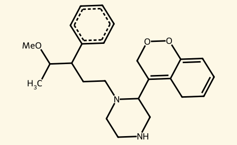 COC(C)C(CCN1CCNCC1C1=C2CC=CC=C2OOC1)c1ccccc1